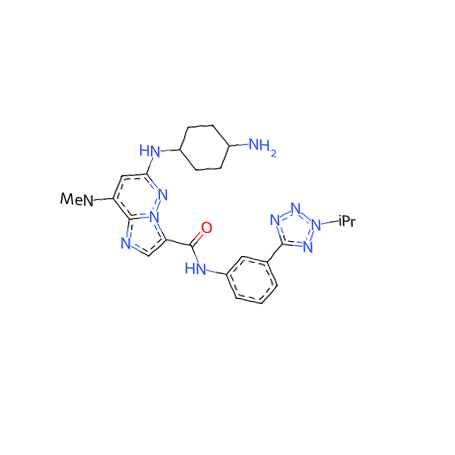 CNc1cc(NC2CCC(N)CC2)nn2c(C(=O)Nc3cccc(-c4nnn(C(C)C)n4)c3)cnc12